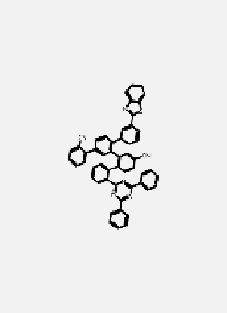 N#Cc1ccc(-c2ccccc2-c2nc(-c3ccccc3)nc(-c3ccccc3)n2)c(-c2cc(-c3ccccc3C#N)ccc2C2C=C(c3nc4ccccc4s3)C=CC2)c1